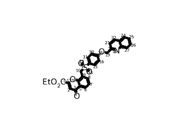 CCOC(=O)c1cc(=O)c2cccc(CS(=O)(=O)c3ccc(OCc4ccc5ccccc5n4)cc3)c2o1